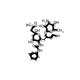 CC(C)/C=C/[C@@H](C[C@@H]1O[C@](O)(C[C@@H](O)C(C)C)C[C@H](O)C1NC(=O)Nc1ccccc1)OC1OC(C)C(O)C(N)C1O